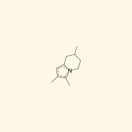 Cc1cc2n(c1C)CCC(C)C2